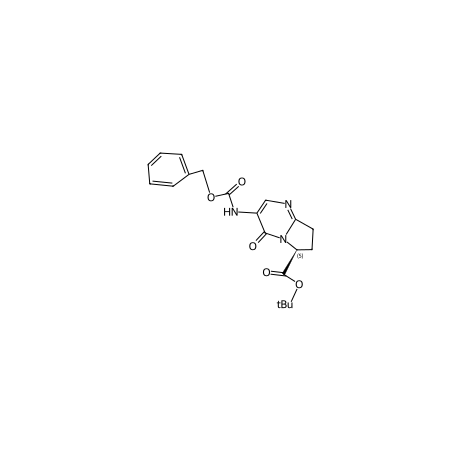 CC(C)(C)OC(=O)[C@@H]1CCc2ncc(NC(=O)OCc3ccccc3)c(=O)n21